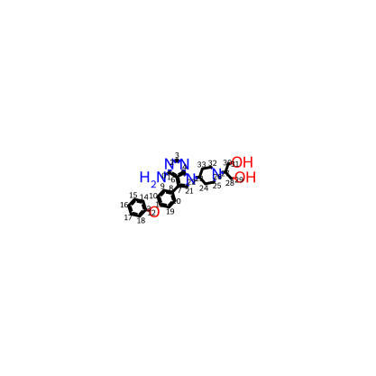 Nc1ncnc2c1c(-c1ccc(Oc3ccccc3)cc1)cn2C1CCN(C(CO)CO)CC1